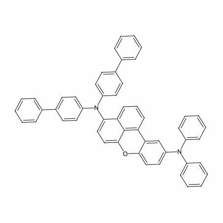 c1ccc(-c2ccc(N(c3ccc(-c4ccccc4)cc3)c3ccc4c5c(cccc35)-c3cc(N(c5ccccc5)c5ccccc5)ccc3O4)cc2)cc1